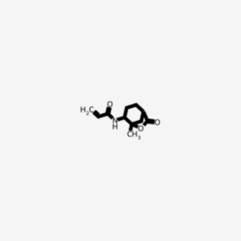 C=CC(=O)NC1CCC2CC1(C)OC2=O